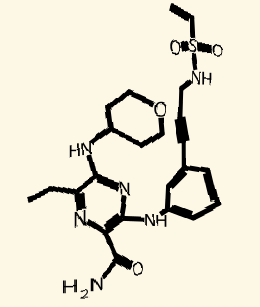 C=CS(=O)(=O)NCC#Cc1cccc(Nc2nc(NC3CCOCC3)c(CC)nc2C(N)=O)c1